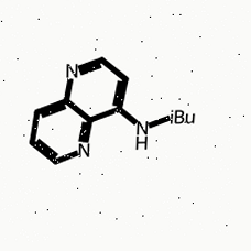 CCC(C)Nc1ccnc2cccnc12